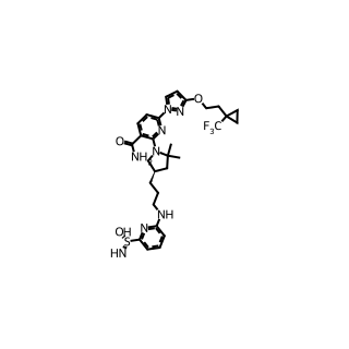 CC1(C)C[C@@H](CCCNc2cccc([SH](=N)=O)n2)CN1c1nc(-n2ccc(OCCC3(C(F)(F)F)CC3)n2)ccc1C(N)=O